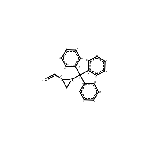 O=C[C@@H]1CN1C(c1ccccc1)(c1ccccc1)c1ccccc1